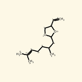 C=CC1COC(CC(C)CCC=C(C)C)O1